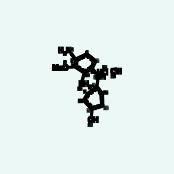 COc1c(N)ccc(Nc2ccc(O)cc2)c1N.Cl.Cl